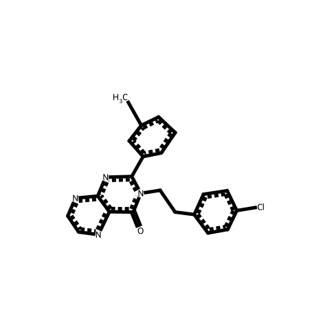 Cc1cccc(-c2nc3nccnc3c(=O)n2CCc2ccc(Cl)cc2)c1